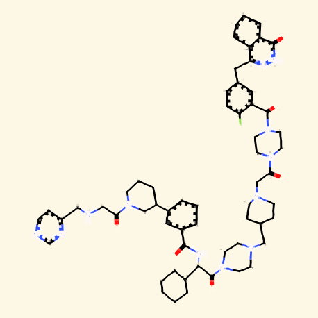 O=C(N[C@@H](C(=O)N1CCN(CC2CCN(CC(=O)N3CCN(C(=O)c4cc(Cc5n[nH]c(=O)c6ccccc56)ccc4F)CC3)CC2)CC1)C1CCCCC1)c1cccc(C2CCCN(C(=O)CNCc3ccncn3)C2)c1